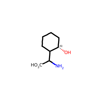 NC(C(=O)O)C1CCCC[C@@H]1O